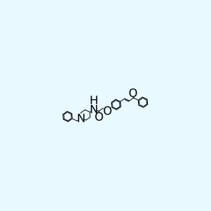 O=C(COc1ccc(C=CC(=O)c2ccccc2)cc1)NC1CCN(Cc2ccccc2)CC1